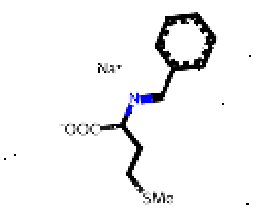 CSCCC(/N=C/c1ccccc1)C(=O)[O-].[Na+]